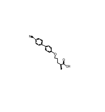 C=C(CCCOc1ccc(-c2ccc(C#N)cc2)cc1)C(=O)O